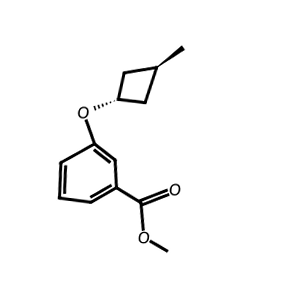 COC(=O)c1cccc(O[C@H]2C[C@H](C)C2)c1